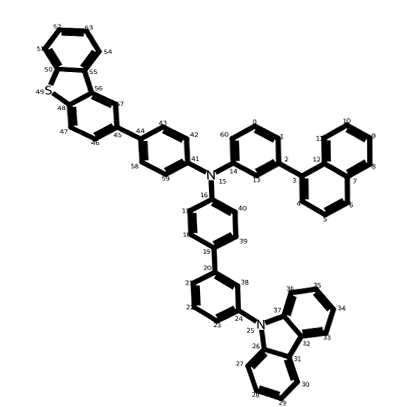 c1cc(-c2cccc3ccccc23)cc(N(c2ccc(-c3cccc(-n4c5ccccc5c5ccccc54)c3)cc2)c2ccc(-c3ccc4sc5ccccc5c4c3)cc2)c1